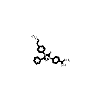 N=C(N)c1ccc(-n2nc(-c3ccccc3)n(-c3ccc(CCC(=O)O)cc3)c2=O)cc1